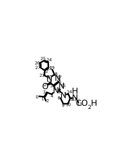 CC(C)=CCn1c(N2CCCC(NC(=O)O)C2)nc2nc(C)n(Cc3ccccc3)c(=O)c21